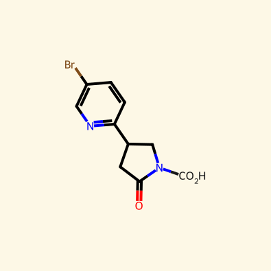 O=C(O)N1CC(c2ccc(Br)cn2)CC1=O